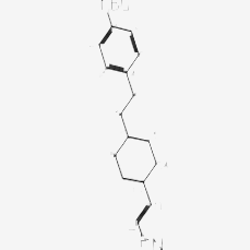 CCCCc1ccc(CCC2CCC(C=CC#N)CC2)cc1